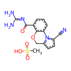 CS(=O)(=O)O.N#Cc1ccc2n1-c1cccc(C(=O)N=C(N)N)c1OC2